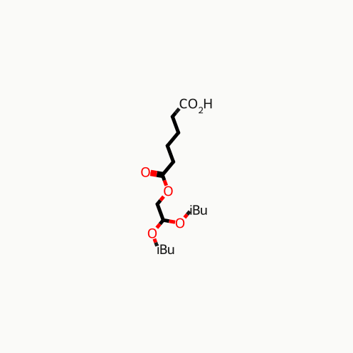 CCC(C)OC(COC(=O)CCCCC(=O)O)OC(C)CC